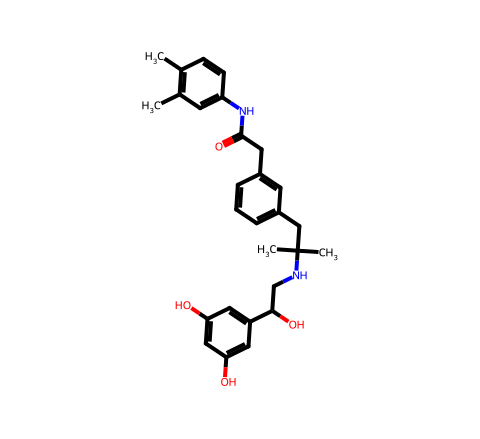 Cc1ccc(NC(=O)Cc2cccc(CC(C)(C)NCC(O)c3cc(O)cc(O)c3)c2)cc1C